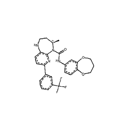 C[C@@H]1CCNc2ccc(-c3cccc(C(F)(F)F)c3)nc2N1C(=O)Nc1ccc2c(c1)OCCCO2